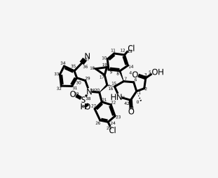 C[C@@]1(CC(=O)O)C[C@H](c2cccc(Cl)c2)[C@@H](C(C2CC2)[C@@H](c2ccc(Cl)cc2)N(Cc2ccccc2C#N)[SH](=O)=O)NC1=O